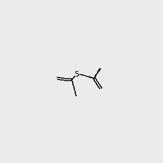 C=C(C)SC(=C)C